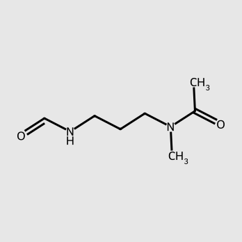 CC(=O)N(C)CCCNC=O